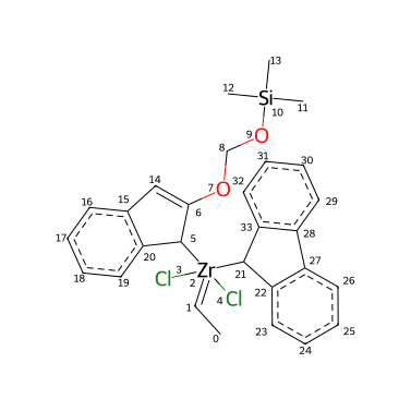 C[CH]=[Zr]([Cl])([Cl])([CH]1C(OCO[Si](C)(C)C)=Cc2ccccc21)[CH]1c2ccccc2-c2ccccc21